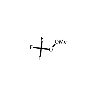 COOC(F)(F)F